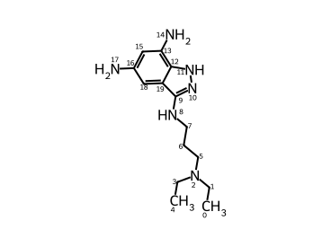 CCN(CC)CCCNc1n[nH]c2c(N)cc(N)cc12